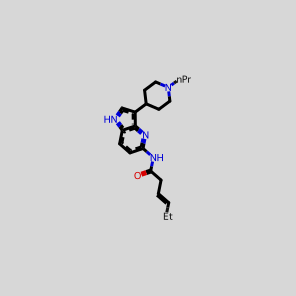 CCC=CCC(=O)Nc1ccc2[nH]cc(C3CCN(CCC)CC3)c2n1